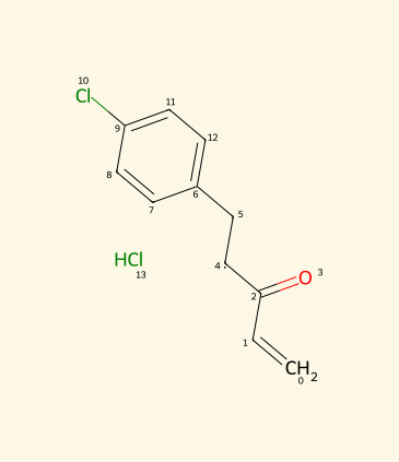 C=CC(=O)[CH]Cc1ccc(Cl)cc1.Cl